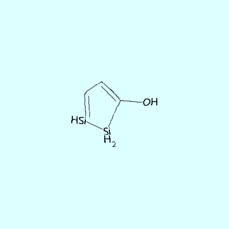 OC1=CC=[SiH][SiH2]1